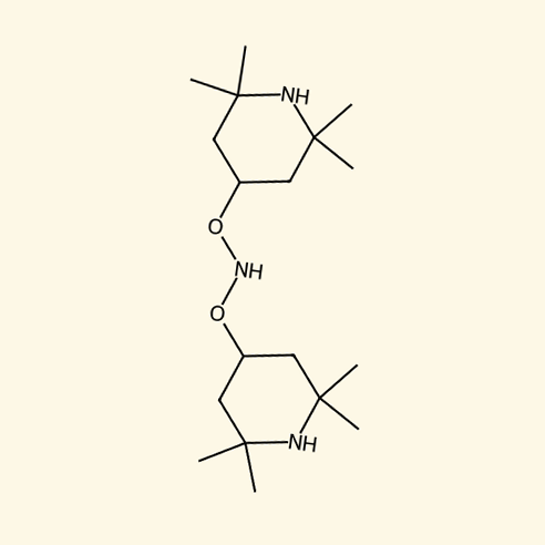 CC1(C)CC(ONOC2CC(C)(C)NC(C)(C)C2)CC(C)(C)N1